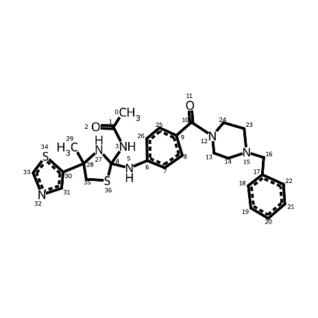 CC(=O)NC1(Nc2ccc(C(=O)N3CCN(Cc4ccccc4)CC3)cc2)NC(C)(c2cncs2)CS1